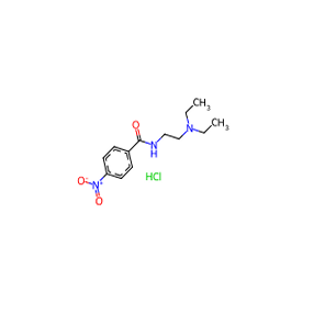 CCN(CC)CCNC(=O)c1ccc([N+](=O)[O-])cc1.Cl